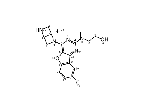 OCCNc1nc(N2CC3NC[C@H]32)c2oc3ccc(Cl)cc3c2n1